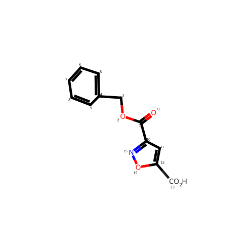 O=C(OCc1ccccc1)c1cc(C(=O)O)on1